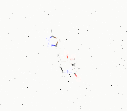 Cc1nnc(SCC2C=C(C(=O)O)N3C(=O)C[C@H]3S2(=O)=O)s1